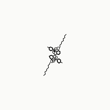 CCCCCCCCCOc1cccc(C(C)(C)c2cccc(OCCCCCCCCC)c2S(=O)(=O)c2ccc(C)cc2)c1S(=O)(=O)c1ccc(C)cc1